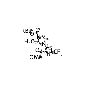 COC(=O)c1nc(C(F)(F)F)sc1N1CCN(C(=O)OC(C)(C)C)C(C)C1